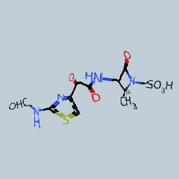 C[C@H]1C(NC(=O)C(=O)c2csc(NC=O)n2)C(=O)N1S(=O)(=O)O